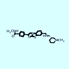 CNC(=O)c1ccc(-c2cn3c(n2)sc2cc(CNC[C@H]4CCCN(C)C4)ccc23)cc1